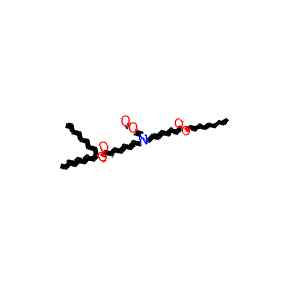 CCCCCCCCCOC(=O)CCCCCCCN(CCCCCCCC(=O)OC(CCCCCCCC)CCCCCCCC)CCOC=O